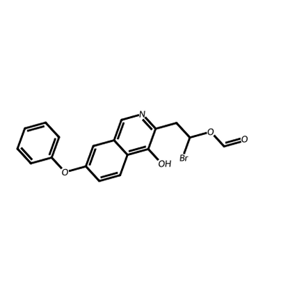 O=COC(Br)Cc1ncc2cc(Oc3ccccc3)ccc2c1O